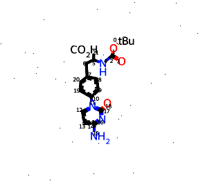 CC(C)(C)OC(=O)NC(Cc1ccc(-n2ccc(N)nc2=O)cc1)C(=O)O